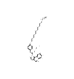 CCOC[C@H](Cc1ccc(OCCCCCCCCCCCN=[N+]=[N-])cc1)n1cnc2cnc3ccccc3c21